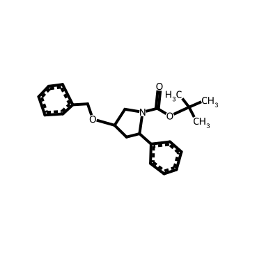 CC(C)(C)OC(=O)N1CC(OCc2ccccc2)CC1c1ccccc1